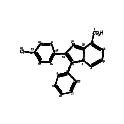 O=C(O)c1cccn2c(-c3ccccc3)c(-c3ccc(Cl)cc3)nc12